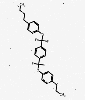 CCCCc1ccc(OC(F)(F)c2ccc(C(F)(F)Oc3ccc(CCC)cc3)cc2)cc1